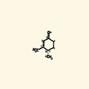 CC1=CC(=O)CC[C@@H]1C